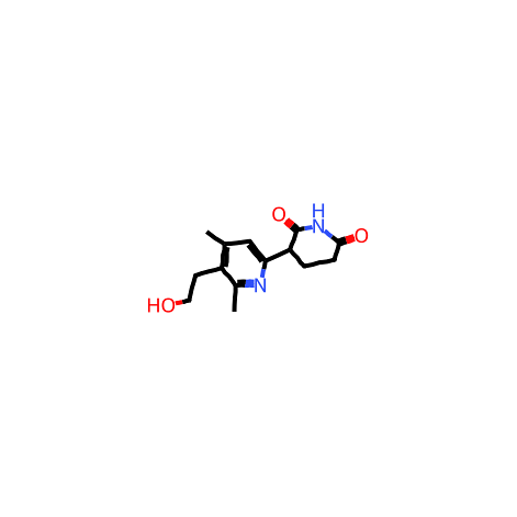 Cc1cc(C2CCC(=O)NC2=O)nc(C)c1CCO